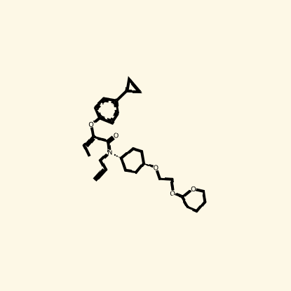 C=CCN(C(=O)/C(=C\C)Oc1ccc(C2CC2)cc1)[C@H]1CC[C@H](OCCOC2CCCCO2)CC1